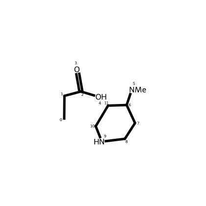 CCC(=O)O.CNC1CCNCC1